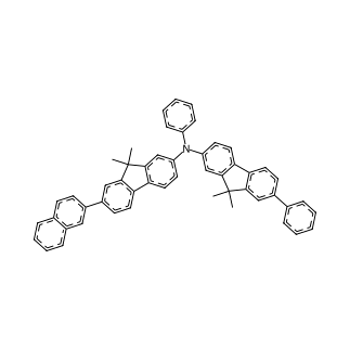 CC1(C)c2cc(-c3ccccc3)ccc2-c2ccc(N(c3ccccc3)c3ccc4c(c3)C(C)(C)c3cc(-c5ccc6ccccc6c5)ccc3-4)cc21